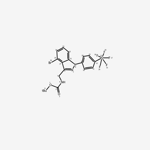 CC(C)(C)OC(=O)NCc1nn(-c2ccc(S(F)(F)(F)(F)F)cc2)c2cccc(Br)c12